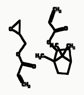 C=CC(=O)OC1CC2CCC1(C)C2(C)C.C=CC(=O)OCC1CO1